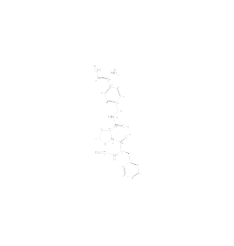 CCOC(=O)N[C@H](Cc1ccccc1)C(=O)N1CCC[C@H]1C(=O)NCc1ccc(C(N)=NO)cc1